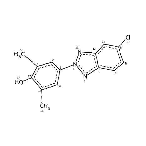 Cc1cc(-n2nc3ccc(Cl)cc3n2)cc(C)c1O